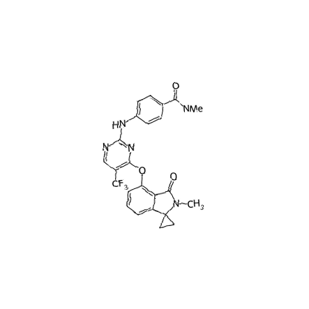 CNC(=O)c1ccc(Nc2ncc(C(F)(F)F)c(Oc3cccc4c3C(=O)N(C)C43CC3)n2)cc1